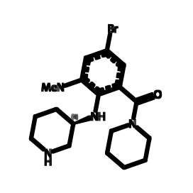 CNc1cc(Br)cc(C(=O)N2CCCCC2)c1N[C@@H]1CCCNC1